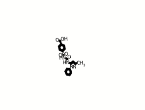 Cc1cc(NC(=O)NS(=O)(=O)c2ccc(C(=O)O)cc2)n(-c2ccccc2)n1